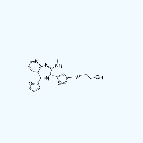 CNC1=Nc2ncccc2C(c2ccco2)=NC1c1cc(C#CCCO)cs1